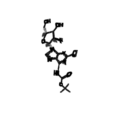 CC(C)(C)OC(=O)Nc1nc(Cl)nc2c1ncn2[C@@H]1O[C@H](CO)C(O)[C@H]1F